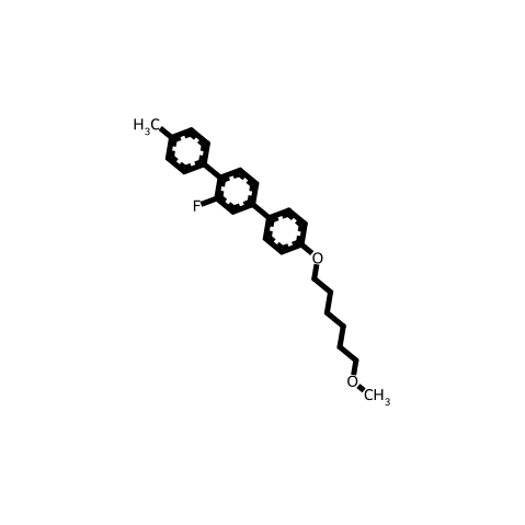 COCCCCCCOc1ccc(-c2ccc(-c3ccc(C)cc3)c(F)c2)cc1